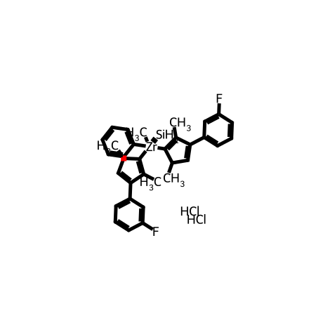 CC1=[C]([Zr]([CH3])(=[SiH2])([C]2=C(C)C(c3cccc(F)c3)=CC2C)[c]2ccccc2)C(C)C=C1c1cccc(F)c1.Cl.Cl